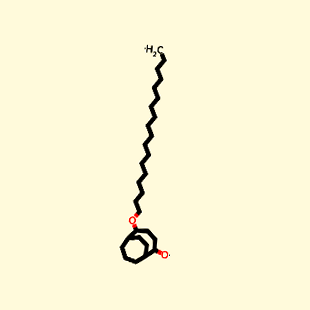 [CH2]CCCCCCCCCCCCCCCCCOC1CCC([O])C2CCCC1CC2